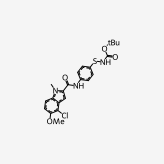 COc1ccc2c(cc(C(=O)Nc3ccc(SNC(=O)OC(C)(C)C)cc3)n2C)c1Cl